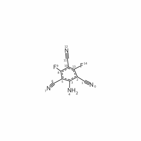 N#Cc1c(N)c(C#N)c(F)c(C#N)c1F